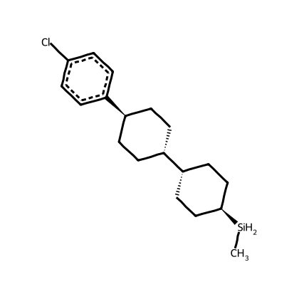 C[SiH2][C@H]1CC[C@H]([C@H]2CC[C@H](c3ccc(Cl)cc3)CC2)CC1